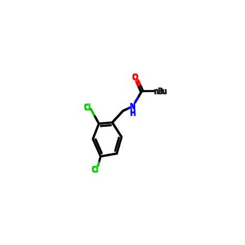 CCCCC(=O)NCc1ccc(Cl)cc1Cl